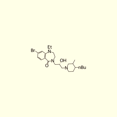 CCCCC1CCN(C[C@@H](O)CN2CCN(CC)c3cc(Br)ccc3C2=O)CC1C